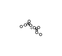 CC1(C)c2cc3c(cc2-c2cc4c5ccccc5n(-c5cccc(-c6ccccc6)c5)c4cc21)c1ccccc1n3-c1ccc(-c2ccccc2)cc1